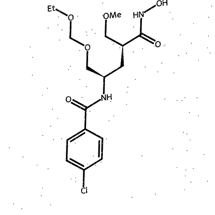 CCOCOC[C@@H](C[C@@H](COC)C(=O)NO)NC(=O)c1ccc(Cl)cc1